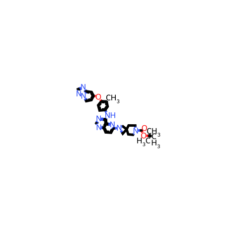 Cc1cc(Nc2ncnc3ccc(N4CC5(CCN(C(=O)OC(C)(C)C)CC5)C4)nc23)ccc1Oc1ccn2ncnc2c1